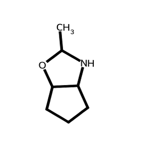 CC1NC2CCCC2O1